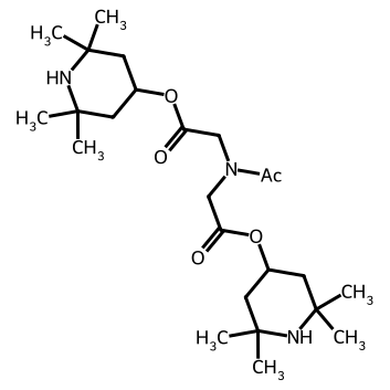 CC(=O)N(CC(=O)OC1CC(C)(C)NC(C)(C)C1)CC(=O)OC1CC(C)(C)NC(C)(C)C1